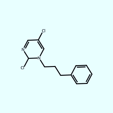 ClC1=CN(CCCc2ccccc2)C(Cl)N=C1